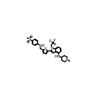 CN1CCC(Nc2cccc3c2cc(-c2ccc(CNc4ccc(S(C)(=O)=O)cc4)s2)n3CC(F)(F)F)CC1